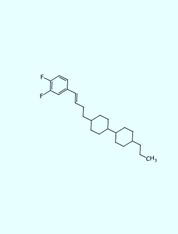 CCCC1CCC(C2CCC(CCC=Cc3ccc(F)c(F)c3)CC2)CC1